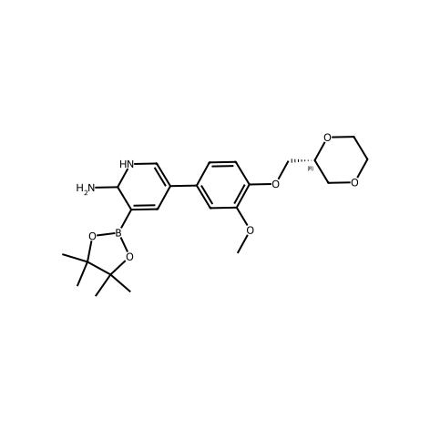 COc1cc(C2=CNC(N)C(B3OC(C)(C)C(C)(C)O3)=C2)ccc1OC[C@H]1COCCO1